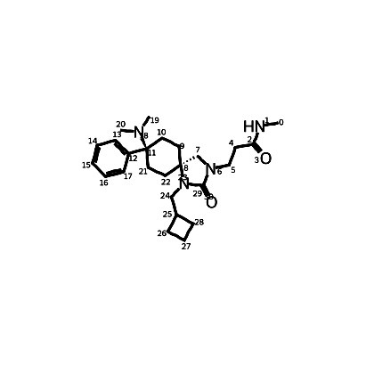 CNC(=O)CCN1C[C@]2(CC[C@](c3ccccc3)(N(C)C)CC2)N(CC2CCC2)C1=O